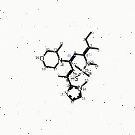 CC\C(C)=C(/C=C(\C=C(/C)c1nccn1C)N1CCOCC1C)N(C)S(C)(C)S